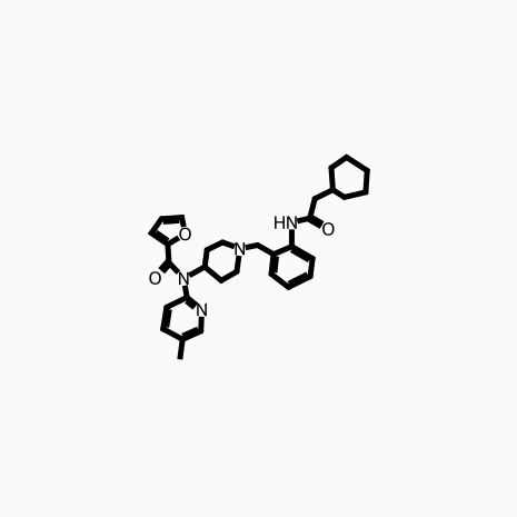 Cc1ccc(N(C(=O)c2ccco2)C2CCN(Cc3ccccc3NC(=O)CC3CCCCC3)CC2)nc1